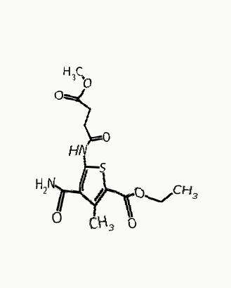 CCOC(=O)c1sc(NC(=O)CCC(=O)OC)c(C(N)=O)c1C